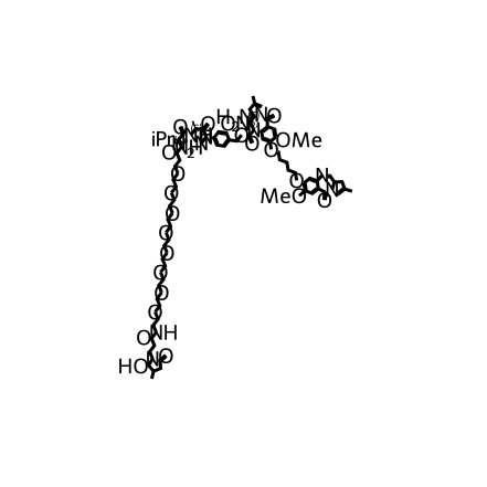 COc1cc2c(cc1OCCCCCOc1cc3c(cc1OC)C(=O)N1C=C(C)C[C@@]1(N)[C@H](N=O)N3C(=O)OCc1ccc(N(N)C(=O)[C@H](C)NC(=O)[C@@H](NC(=O)CCOCCOCCOCCOCCOCCOCCOCCOCCNC(=O)CCN3C(=O)CC(C)C3O)C(C)C)cc1)N=CC1CC(C)=CN1C2=O